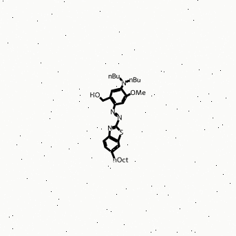 CCCCCCCCc1ccc2nc(/N=N/c3cc(OC)c(N(CCCC)CCCC)cc3CO)sc2c1